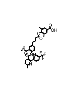 Cc1ccc(C(=O)Nc2ccc(CCCC(=O)Oc3c(C)cc(C(=O)O)cc3C)cc2C(=O)N(C)C)c(-c2ccc(C(F)(F)F)cc2)n1